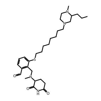 CCCC1CN(CCCCCCCCSc2cccc(C=O)c2CN(C)C2CCC(=O)NC2=O)CCN1C